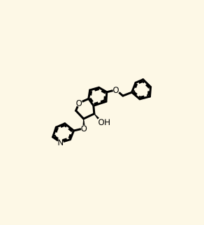 O[C@@H]1c2cc(OCc3ccccc3)ccc2OC[C@@H]1Oc1cccnc1